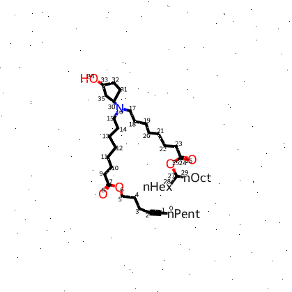 CCCCCC#CCCCOC(=O)CCCCCCCN(CCCCCCCC(=O)OC(CCCCCC)CCCCCCCC)C1CCC(O)C1